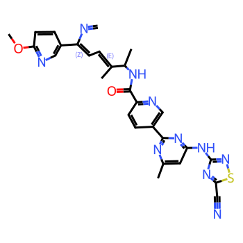 C=N/C(=C\C=C(/C)C(C)NC(=O)c1ccc(-c2nc(C)cc(Nc3nsc(C#N)n3)n2)cn1)c1ccc(OC)nc1